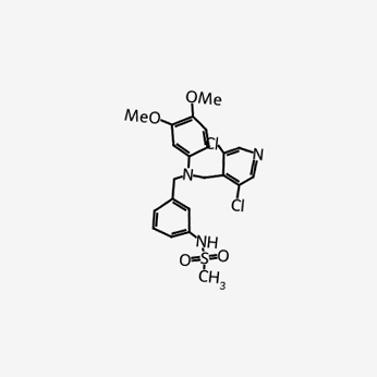 COc1ccc(N(Cc2cccc(NS(C)(=O)=O)c2)Cc2c(Cl)cncc2Cl)cc1OC